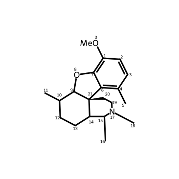 COc1ccc(C)c2c1OC1C(C)CCC3C(C)N(C)CC[C@@]231